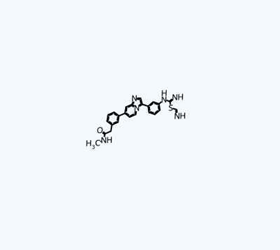 CNC(=O)Cc1cccc(-c2ccn3c(-c4cccc(NC(=N)SC=N)c4)cnc3c2)c1